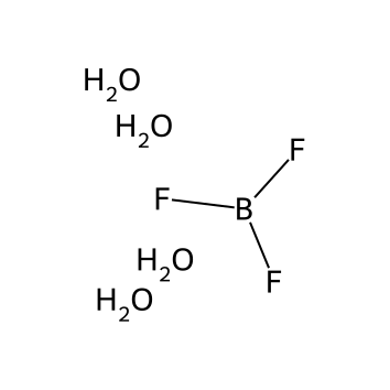 FB(F)F.O.O.O.O